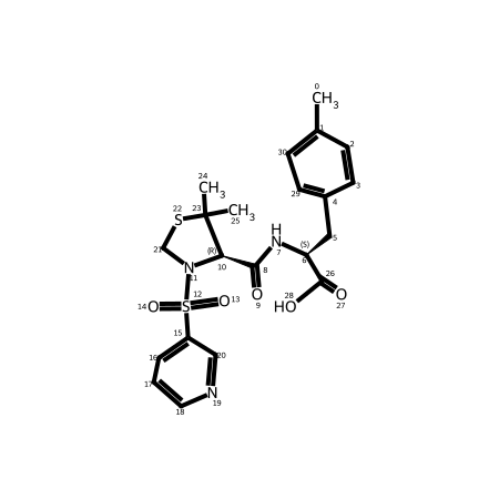 Cc1ccc(C[C@H](NC(=O)[C@H]2N(S(=O)(=O)c3cccnc3)CSC2(C)C)C(=O)O)cc1